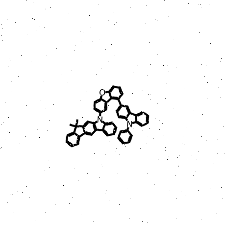 CC1(C)c2ccccc2-c2cc3c4ccccc4n(-c4ccc5oc6cccc(-c7ccc8c(c7)c7ccccc7n8-c7ccccc7)c6c5c4)c3cc21